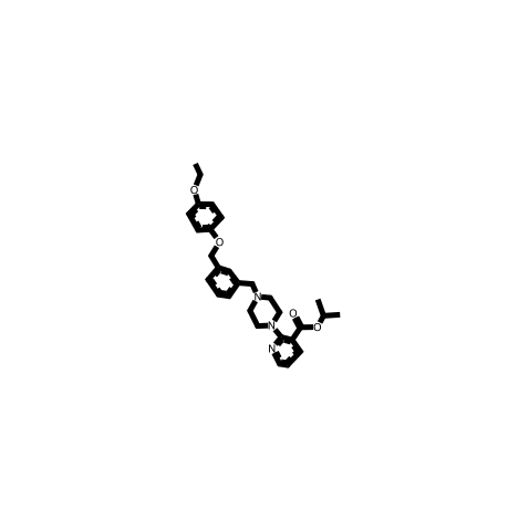 CCOc1ccc(OCc2cccc(CN3CCN(c4ncccc4C(=O)OC(C)C)CC3)c2)cc1